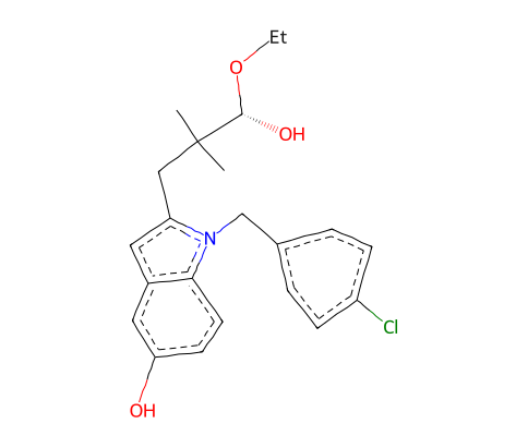 CCO[C@H](O)C(C)(C)Cc1cc2cc(O)ccc2n1Cc1ccc(Cl)cc1